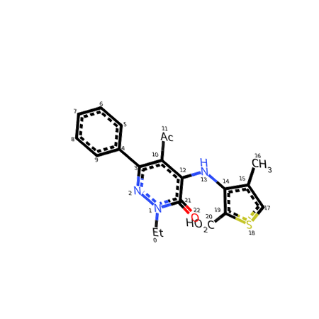 CCn1nc(-c2ccccc2)c(C(C)=O)c(Nc2c(C)csc2C(=O)O)c1=O